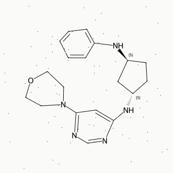 c1ccc(N[C@H]2CC[C@H](Nc3cc(N4CCOCC4)ncn3)C2)cc1